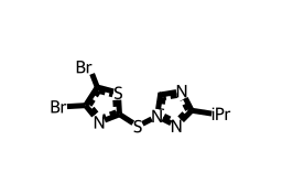 CC(C)c1ncn(Sc2nc(Br)c(Br)s2)n1